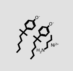 CCCCCC(C)(C)c1ccc([O-])cc1.CCCCCC(C)(C)c1ccc([O-])cc1.CCCCN.[Ni+2]